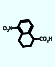 O=C(O)C1CCCc2c1cccc2[N+](=O)[O-]